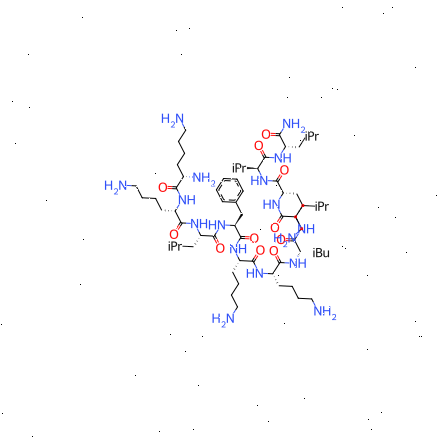 CC[C@H](C)[C@H](NC(=O)[C@H](CCCCN)NC(=O)[C@H](CCCCN)NC(=O)[C@H](Cc1ccccc1)NC(=O)[C@H](CC(C)C)NC(=O)[C@H](CCCCN)NC(=O)[C@@H](N)CCCCN)C(=O)N[C@@H](CC(C)C)C(=O)N[C@@H](CCCCN)C(=O)N[C@H](C(=O)N[C@@H](CC(C)C)C(N)=O)C(C)C